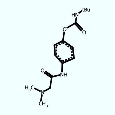 CN(C)CC(=O)Nc1ccc(OC(=O)NC(C)(C)C)cc1